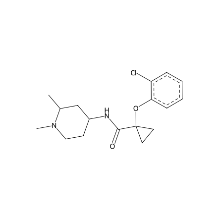 CC1CC(NC(=O)C2(Oc3ccccc3Cl)CC2)CCN1C